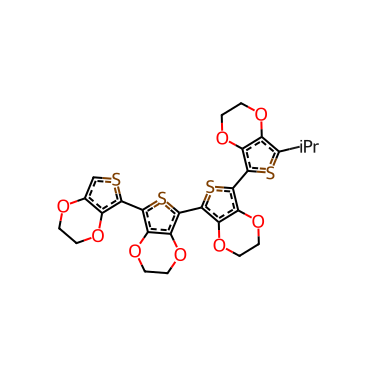 CC(C)c1sc(-c2sc(-c3sc(-c4scc5c4OCCO5)c4c3OCCO4)c3c2OCCO3)c2c1OCCO2